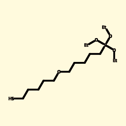 CCO[Si](CCCCCOCCCCCS)(OCC)OCC